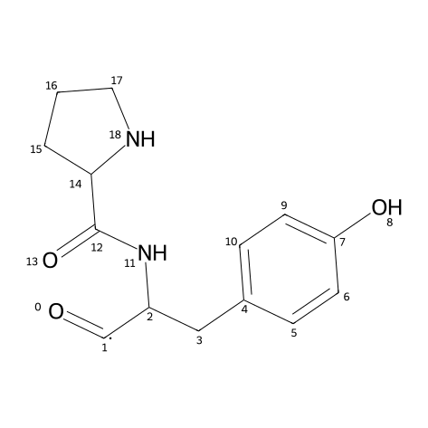 O=[C]C(Cc1ccc(O)cc1)NC(=O)C1CCCN1